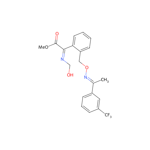 COC(=O)/C(=N/CO)c1ccccc1CO/N=C(\C)c1cccc(C(F)(F)F)c1